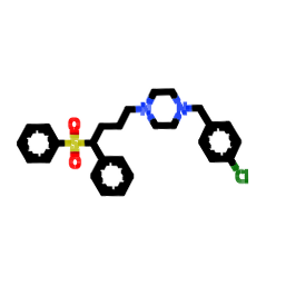 O=S(=O)(c1ccccc1)C(CCCN1CCN(Cc2ccc(Cl)cc2)CC1)c1ccccc1